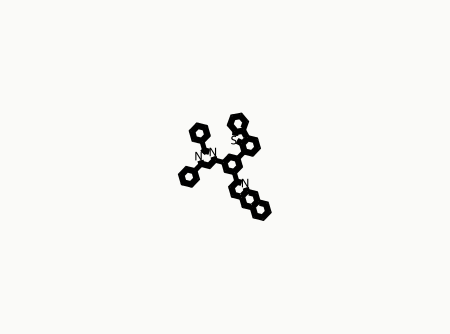 c1ccc(-c2cc(-c3cc(-c4ccc5cc6ccccc6cc5n4)cc(-c4cccc5c4sc4ccccc45)c3)nc(-c3ccccc3)n2)cc1